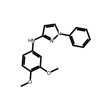 COc1ccc(Nc2ccn(-c3ccccc3)n2)cc1OC